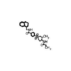 C=CC(=O)NC1CCN(S(=O)(=O)c2ccc(C(=O)NCc3cccc4ccccc34)cc2)CC1C